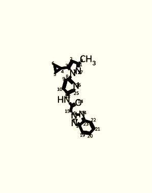 Cc1cc(C2CC2)n(-c2ccc(NC(=O)Cn3nc4ccccc4n3)cn2)n1